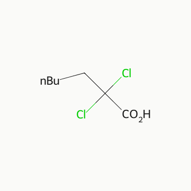 CCCCCC(Cl)(Cl)C(=O)O